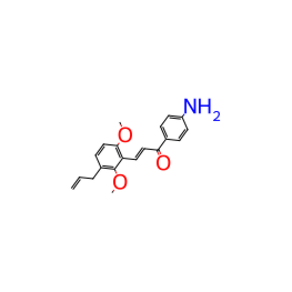 C=CCc1ccc(OC)c(/C=C/C(=O)c2ccc(N)cc2)c1OC